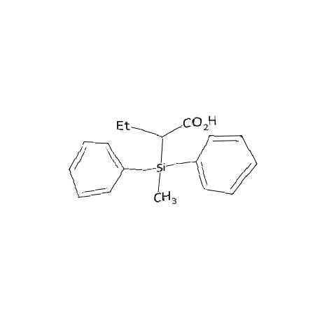 CCC(C(=O)O)[Si](C)(c1ccccc1)c1ccccc1